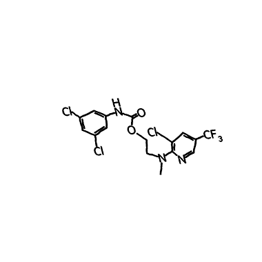 CN(CCOC(=O)Nc1cc(Cl)cc(Cl)c1)c1ncc(C(F)(F)F)cc1Cl